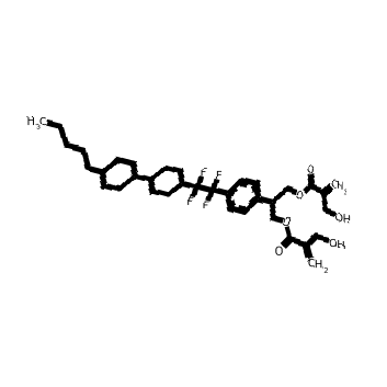 C=C(CO)C(=O)OCC(COC(=O)C(=C)CO)c1ccc(C(F)(F)C(F)(F)C2CCC(C3CCC(CCCCC)CC3)CC2)cc1